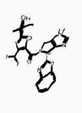 CC(C)(O)c1nc(C(F)F)c(C(=O)N2Cc3[nH]cnc3[C@@H]2c2nc3ccccc3o2)o1